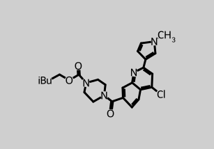 CCC(C)COC(=O)N1CCN(C(=O)c2ccc3c(Cl)cc(-c4ccn(C)c4)nc3c2)CC1